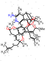 COC(=O)/C(C)=C\CC12OC(C)(C)C3CC(C1=O)C1C(C#N)=C(N)N(C)C4=C1C32Oc1c(CC=C(C)C)c2c3c(c14)OC(=O)CC3=CC(C)(CCC=C(C)C)O2